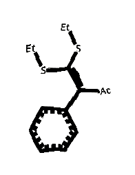 CCSC(SCC)=C(C(C)=O)c1ccccc1